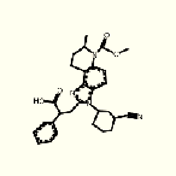 COC(=O)N1c2ccc3c(nc(CC(C(=O)O)c4ccccc4)n3C3CCCC(C#N)C3)c2CCC1C